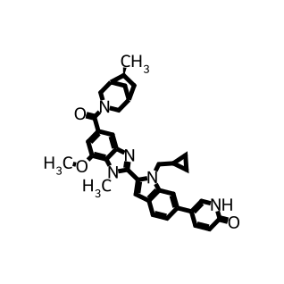 COc1cc(C(=O)N2CC3CC(C2)[C@@H](C)C3)cc2nc(-c3cc4ccc(-c5ccc(=O)[nH]c5)cc4n3CC3CC3)n(C)c12